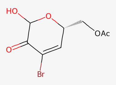 CC(=O)OC[C@@H]1C=C(Br)C(=O)C(O)O1